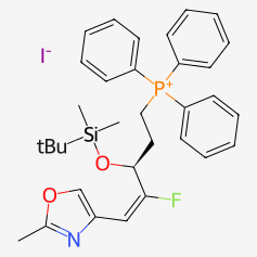 Cc1nc(/C=C(/F)[C@H](CC[P+](c2ccccc2)(c2ccccc2)c2ccccc2)O[Si](C)(C)C(C)(C)C)co1.[I-]